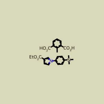 CCOC(=O)c1ccn(-c2ccc([Si](C)(C)C)cc2)c1.Cc1c(C(=O)O)cccc1C(=O)O